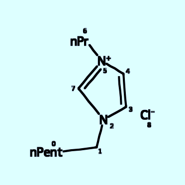 CCCCCCn1cc[n+](CCC)c1.[Cl-]